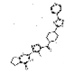 Cc1c(C(=O)N2CCC(c3nc(-c4ccncc4)cs3)CC2)cnn1-c1nc2c(c(=O)[nH]1)CCC2